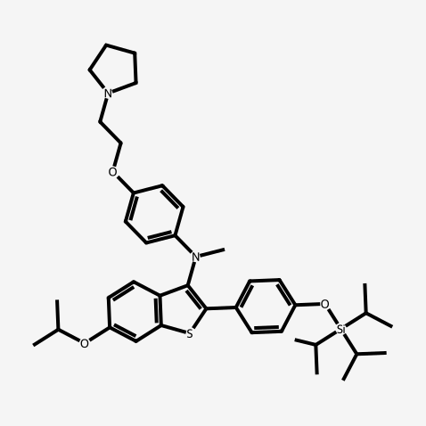 CC(C)Oc1ccc2c(N(C)c3ccc(OCCN4CCCC4)cc3)c(-c3ccc(O[Si](C(C)C)(C(C)C)C(C)C)cc3)sc2c1